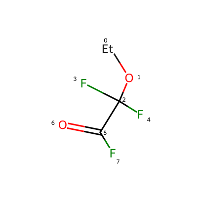 CCOC(F)(F)C(=O)F